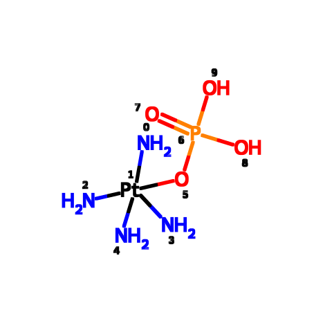 [NH2][Pt]([NH2])([NH2])([NH2])[O]P(=O)(O)O